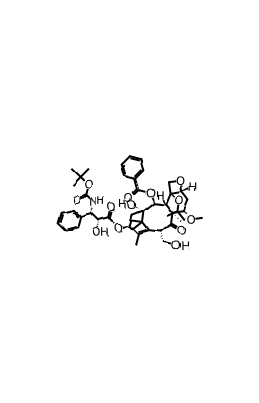 CO[C@H]1C[C@H]2OC[C@@]2(OC(C)C)[C@H]2[C@H](OC(=O)c3ccccc3)[C@]3(O)C[C@H](OC(=O)[C@H](O)[C@@H](NC(=O)OC(C)(C)C)c4ccccc4)C(C)=C([C@@H](CO)C(=O)[C@]12C)C3(C)C